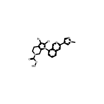 CCc1c(Br)c2c(n1-c1cccc3cc(-c4cnn(C)c4)ncc13)CN(C(=O)OC(C)(C)C)CC2